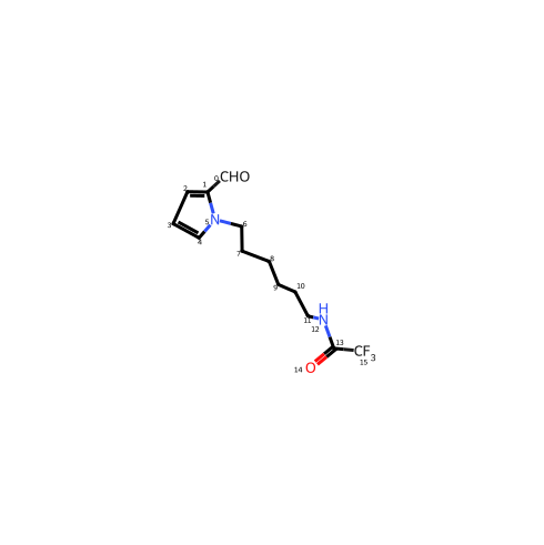 O=Cc1cccn1CCCCCCNC(=O)C(F)(F)F